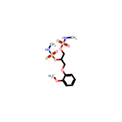 CNS(=O)(=O)OCC(COc1ccccc1OC)OS(=O)(=O)NC